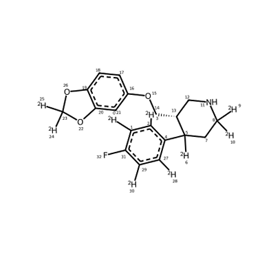 [2H]c1c([2H])c(C2([2H])CC([2H])([2H])NC[C@H]2COc2ccc3c(c2)OC([2H])([2H])O3)c([2H])c([2H])c1F